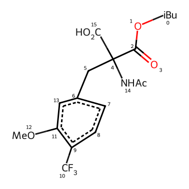 CCC(C)OC(=O)C(Cc1ccc(C(F)(F)F)c(OC)c1)(NC(C)=O)C(=O)O